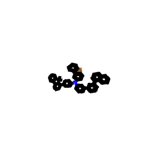 CC1(C)c2ccccc2-c2cccc(-c3ccc(N(c4cccc(-c5cccc(-c6cccc7ccccc67)c5)c4)c4ccc5sc6ccccc6c5c4)cc3)c21